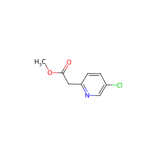 COC(=O)Cc1ccc(Cl)cn1